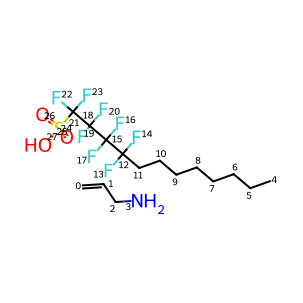 C=CCN.CCCCCCCCC(F)(F)C(F)(F)C(F)(F)C(F)(F)S(=O)(=O)O